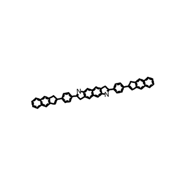 C1=C(c2ccc(C3=Nc4cc5cc6c(cc5cc4C3)N=C(c3ccc(C4=Cc5cc7ccccc7cc5C4)cc3)C6)cc2)Cc2cc3ccccc3cc21